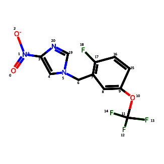 O=[N+]([O-])c1cn(Cc2cc(OC(F)(F)F)ccc2F)cn1